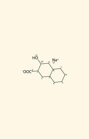 O=C([O-])C1CC2CCCCC2CC1O.[Na+]